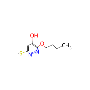 CCCCOc1nnc([S])cc1O